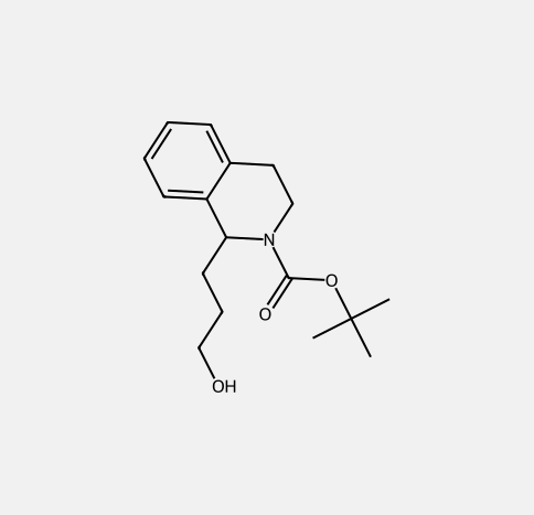 CC(C)(C)OC(=O)N1CCc2ccccc2C1CCCO